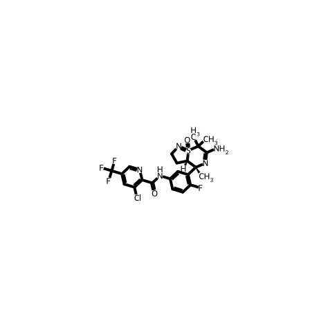 CC1(C)C(N)=N[C@](C)(c2cc(NC(=O)c3ncc(C(F)(F)F)cc3Cl)ccc2F)[C@@H]2CCN=S21=O